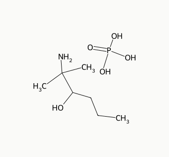 CCCC(O)C(C)(C)N.O=P(O)(O)O